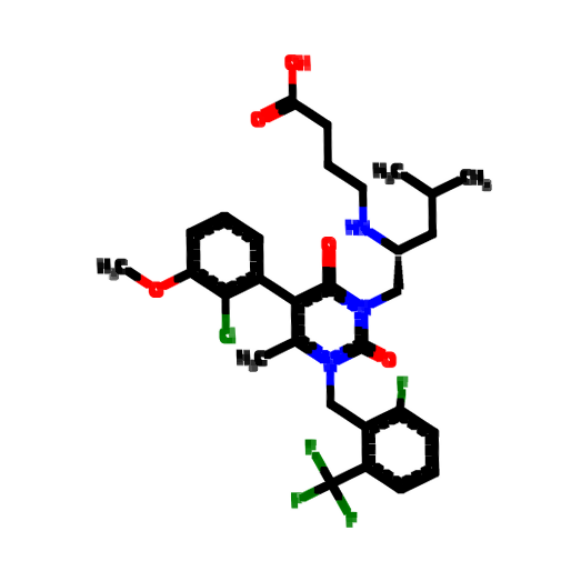 COc1cccc(-c2c(C)n(Cc3c(F)cccc3C(F)(F)F)c(=O)n(C[C@@H](CC(C)C)NCCCC(=O)O)c2=O)c1Cl